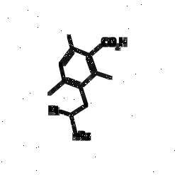 CCCCC(CC)Cc1c(C)cc(C)c(C(=O)O)c1C